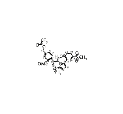 COc1nc(COC(=O)C(F)(F)F)ccc1-c1cn2c(-c3cc(S(C)(=O)=O)ccc3C)cnc2c(N)n1